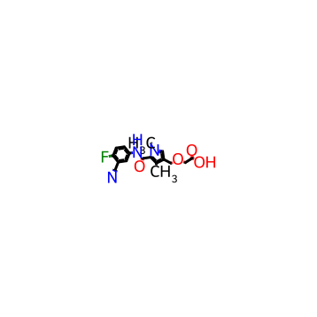 Cc1c(COCC(=O)O)cn(C)c1C(=O)Nc1ccc(F)c(C#N)c1